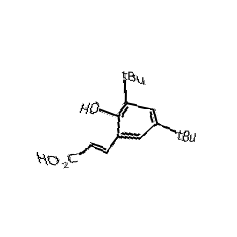 CC(C)(C)c1cc(C=CC(=O)O)c(O)c(C(C)(C)C)c1